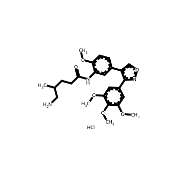 COc1ccc(-c2conc2-c2cc(OC)c(OC)c(OC)c2)cc1NC(=O)CCC(C)CN.Cl